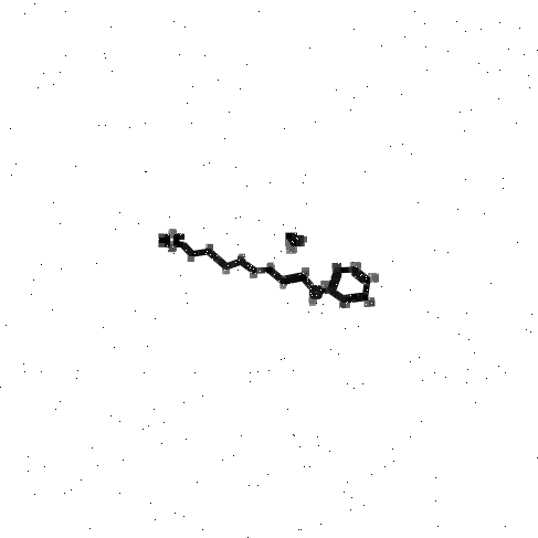 CCCCCCCC=COc1ccccc1.[Na]